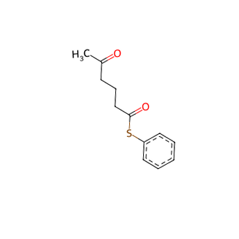 CC(=O)CCCC(=O)Sc1ccccc1